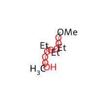 CCC(COCCOCCOCC(C)O)COC(CC)COC(CC)COCCOCCOC